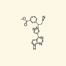 COC(=O)c1cccc(C(CC#N)n2cc(-c3ncnc4[nH]ccc34)cn2)c1